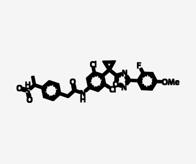 COc1ccc(-c2noc(C3(c4c(Cl)cc(NC(=O)Cc5ccc(C(C)[SH](=O)=O)cc5)cc4Cl)CC3)n2)c(F)c1